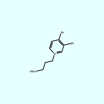 CCCCCCCCCCCC[n+]1ccc(C(C)C)c(C(C)C)c1